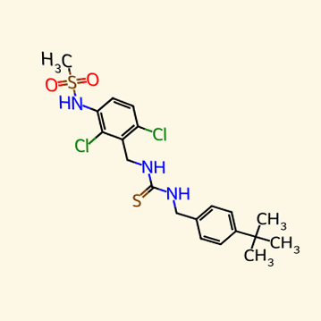 CC(C)(C)c1ccc(CNC(=S)NCc2c(Cl)ccc(NS(C)(=O)=O)c2Cl)cc1